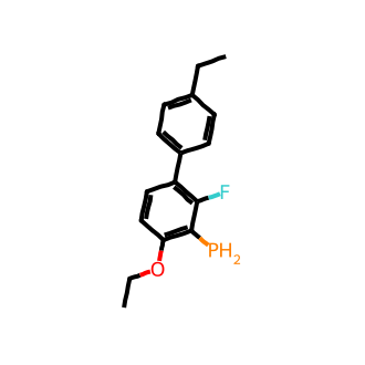 CCOc1ccc(-c2ccc(CC)cc2)c(F)c1P